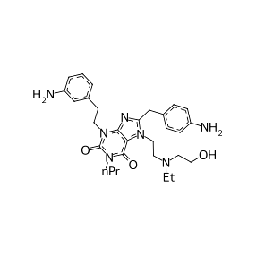 CCCn1c(=O)c2c(nc(Cc3ccc(N)cc3)n2CCN(CC)CCO)n(CCc2cccc(N)c2)c1=O